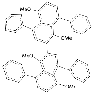 COc1ccc(-c2ccccc2)c2c(OC)c(-c3cc(-c4ccccc4)c4c(OC)ccc(-c5ccccc5)c4c3OC)cc(-c3ccccc3)c12